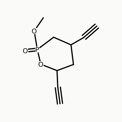 C#CC1CC(C#C)OP(=O)(OC)C1